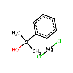 C[Si](C)(O)c1ccccc1.[Cl][Mg][Cl]